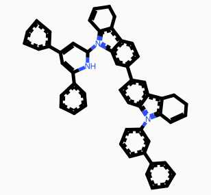 C1=Cc2c(c3cc(-c4ccc5c6c(n(C7C=C(c8ccccc8)C=C(c8ccccc8)N7)c5c4)C=CCC6)ccc3n2-c2cccc(-c3ccccc3)c2)CC1